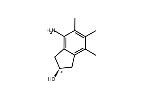 Cc1c(C)c(N)c2c(c1C)C[C@@H](O)C2